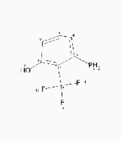 Oc1cccc(P)c1C(F)(F)F